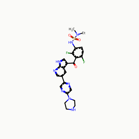 CCN(C)S(=O)(=O)Nc1ccc(F)c(C(=O)c2c[nH]c3ncc(-c4cnc(N5CCNCC5)cn4)cc23)c1F